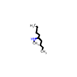 CCCCC(CCCC)NC